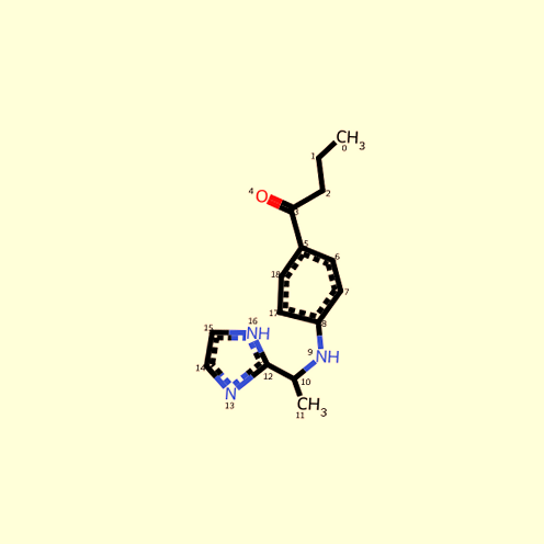 CCCC(=O)c1ccc(NC(C)c2ncc[nH]2)cc1